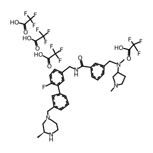 C[C@H]1CN(Cc2cccc(-c3cc(CNC(=O)c4cccc(CN(C)C5CCN(C)C5)c4)ccc3F)c2)CCN1.O=C(O)C(F)(F)F.O=C(O)C(F)(F)F.O=C(O)C(F)(F)F.O=C(O)C(F)(F)F